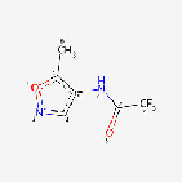 Cc1oncc1NC(=O)C(F)(F)F